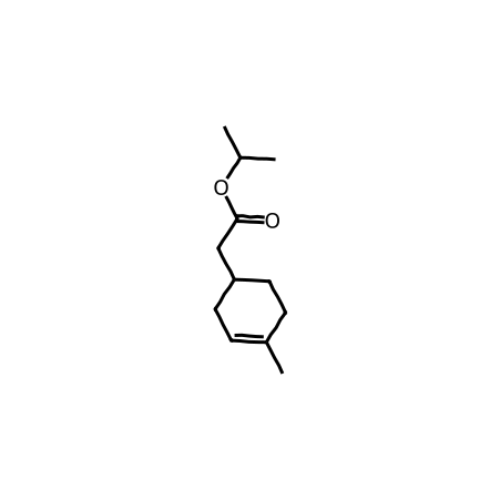 CC1=CCC(CC(=O)OC(C)C)CC1